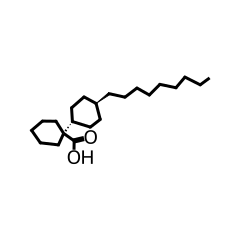 CCCCCCCCC[C@H]1CC[C@H](C2(C(=O)O)CCCCC2)CC1